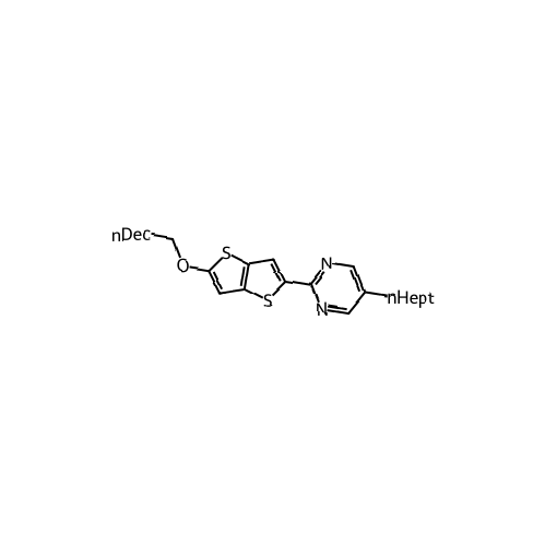 CCCCCCCCCCCOc1cc2sc(-c3ncc(CCCCCCC)cn3)cc2s1